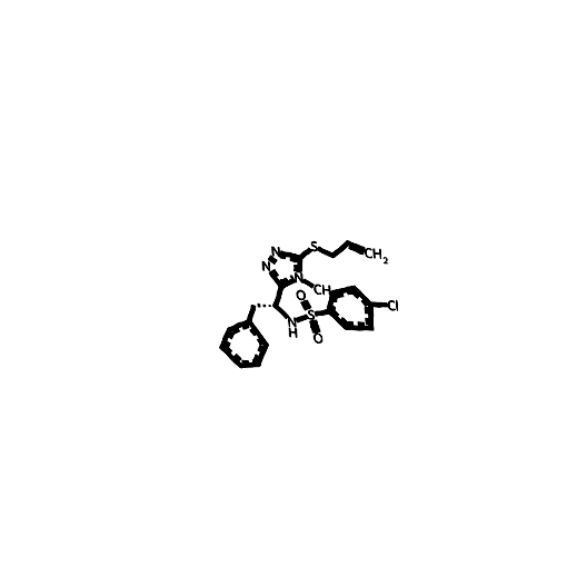 C=CCSc1nnc([C@@H](Cc2ccccc2)NS(=O)(=O)c2ccc(Cl)cc2)n1C